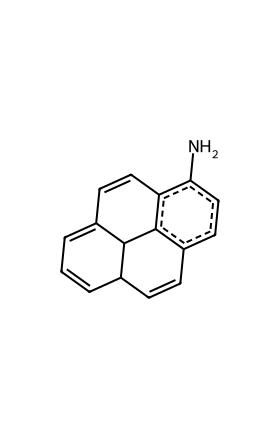 Nc1ccc2c3c1C=CC1=CC=CC(C=C2)C13